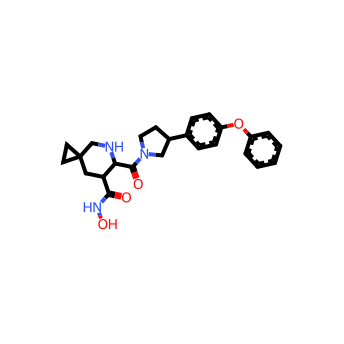 O=C(NO)C1CC2(CC2)CNC1C(=O)N1CCC(c2ccc(Oc3ccccc3)cc2)C1